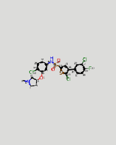 CN1CC[C@H](Oc2cc(NS(=O)(=O)c3cc(-c4ccc(F)c(Cl)c4)c(Cl)s3)ccc2Cl)C1